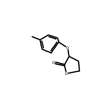 [CH2]c1ccc(OC2CCOC2=O)cc1